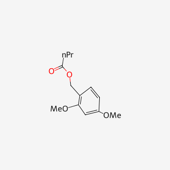 CCCC(=O)OCc1ccc(OC)cc1OC